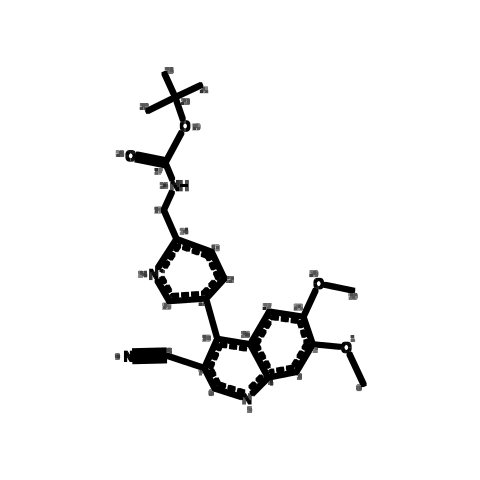 COc1cc2ncc(C#N)c(-c3ccc(CNC(=O)OC(C)(C)C)nc3)c2cc1OC